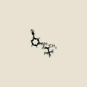 C/C(=N\Nc1cccc(C#N)c1)C(F)(F)F